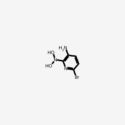 Nc1ccc(Br)nc1N(O)O